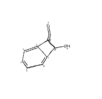 O=C1c2ccccc2C1O